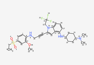 CCS(=O)(=O)c1ccc(NCC#Cc2cc3c(NC4CCC(N(C)C)CC4)cccc3n2CC(F)(F)F)c(OC)c1